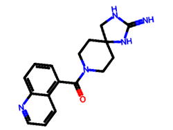 N=C1NCC2(CCN(C(=O)c3cccc4ncccc34)CC2)N1